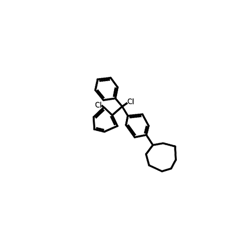 Clc1ccccc1C(Cl)(c1ccccc1)c1ccc(C2CCCCCCC2)cc1